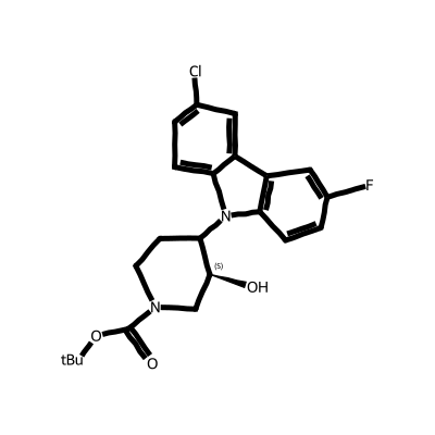 CC(C)(C)OC(=O)N1CCC(n2c3ccc(F)cc3c3cc(Cl)ccc32)[C@@H](O)C1